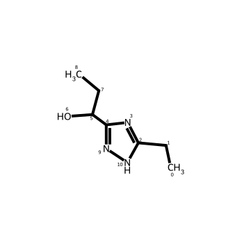 CCc1nc(C(O)CC)n[nH]1